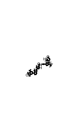 CC(C)c1cc(-c2cccc3cc(-c4ccc(C(=O)NCC#Cc5ccc6c(C(F)F)nn(C7CCC(=O)NC7=O)c6c5)nc4)ncc23)cc2c1n(C)c(=O)n2C